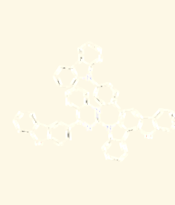 c1ccc2c(-c3ccc4oc5ccccc5c4c3)nc(-n3c4ccccc4c4c5oc6ccccc6c5cc(-c5ccc(-n6c7ccccc7c7ccccc76)cc5)c43)nc2c1